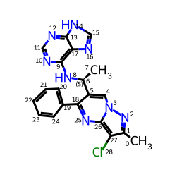 Cc1nn2cc([C@H](C)Nc3ncnc4[nH]cnc34)c(-c3ccccc3)nc2c1Cl